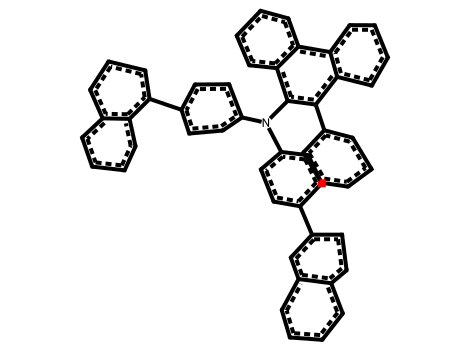 c1ccc(-c2c(N(c3ccc(-c4ccc5ccccc5c4)cc3)c3ccc(-c4cccc5ccccc45)cc3)c3ccccc3c3ccccc23)cc1